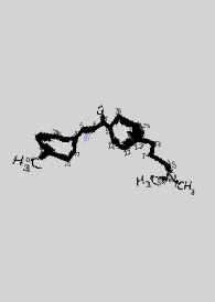 Cc1ccc(/C=C/C(=O)c2ccc(CCCN(C)C)cc2)cc1